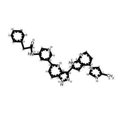 Cc1cn(-c2ccnc3[nH]c(-c4n[nH]c5ccc(-c6cncc(NC(=O)Cc7ccccc7)c6)nc45)cc23)cn1